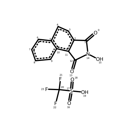 O=C1c2ccc3ccccc3c2C(=O)N1O.O=S(=O)(O)C(F)(F)F